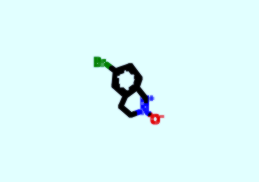 [O-][NH+]1CCc2cc(Br)ccc2C1